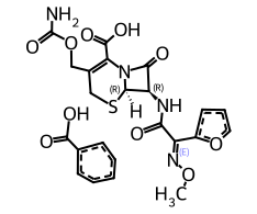 CO/N=C(/C(=O)N[C@@H]1C(=O)N2C(C(=O)O)=C(COC(N)=O)CS[C@H]12)c1ccco1.O=C(O)c1ccccc1